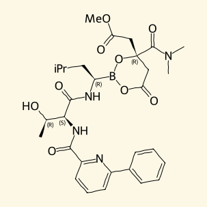 COC(=O)C[C@@]1(C(=O)N(C)C)CC(=O)OB([C@H](CC(C)C)NC(=O)[C@@H](NC(=O)c2cccc(-c3ccccc3)n2)[C@@H](C)O)O1